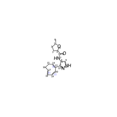 CC1CCC(C(=O)Nc2c[nH]nc2C2=C/CC/C=C/C=C\2)O1